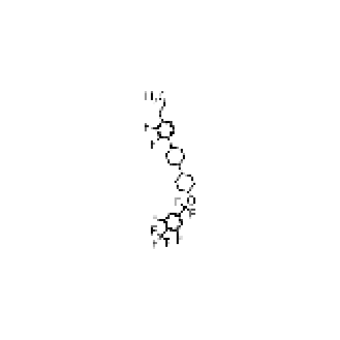 CCCc1ccc(C2CCC(C3CCC(OC(F)(F)c4cc(F)c(C(F)(F)F)c(F)c4)CC3)CC2)c(F)c1F